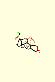 C[C@@H]1C[C@H]2[C@@H]3CCC4=CC(=O)CC[C@]4(C)[C@@]3(F)[C@@H](O)C[C@]2(C)[C@H]1C(=O)CCl